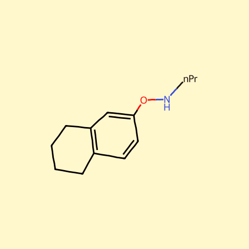 CCCNOc1ccc2c(c1)CCCC2